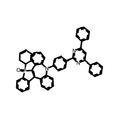 O=P1(C2C=CC=CC2)C2=C(c3ccccc3N(c3ccc(-c4nc(-c5ccccc5)cc(-c5ccccc5)n4)cc3)c3ccccc32)c2ccccc21